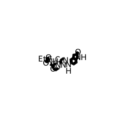 CCS(=O)(=O)NCC1CN(c2nc(Nc3ccc4c(c3)CC(=O)N4)ncc2C(F)(F)F)CCO1